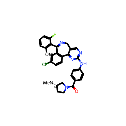 CN[C@H]1CCN(C(=O)c2ccc(Nc3ncc4c(n3)-c3ccc(Cl)cc3C(c3c(F)cccc3OC)=NC4)cc2)C1